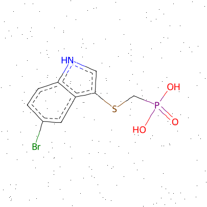 O=P(O)(O)CSc1c[nH]c2ccc(Br)cc12